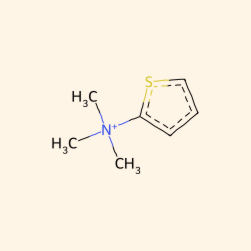 C[N+](C)(C)c1cccs1